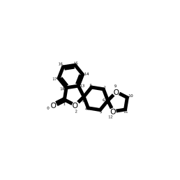 O=C1OC2(CCC3(CC2)OCCO3)c2ccccc21